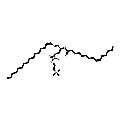 CCCCC/C=C\CCCCCCCC(=O)O[C@H](CO/C=C\CCCCCCCCCCCCCC)COP(=O)([O-])OCC[N+](C)(C)C